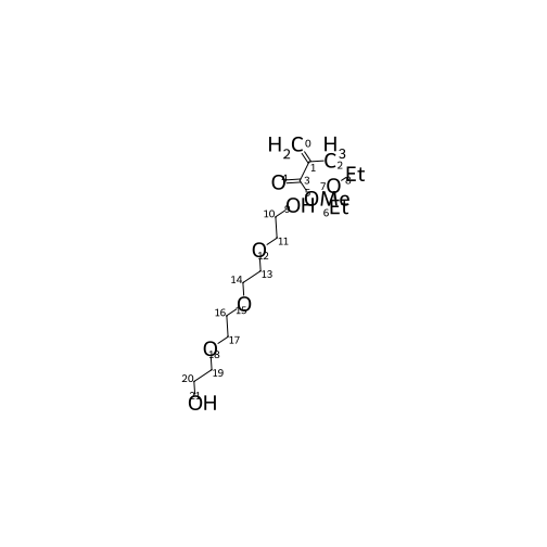 C=C(C)C(=O)OC.CCOCC.OCCOCCOCCOCCO